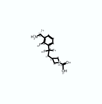 C[C@@H](N)c1cccc(C(F)(F)CC2CN(C(=O)O)C2)c1F